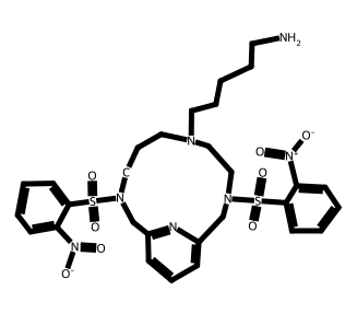 NCCCCCN1CCCN(S(=O)(=O)c2ccccc2[N+](=O)[O-])Cc2cccc(n2)CN(S(=O)(=O)c2ccccc2[N+](=O)[O-])CC1